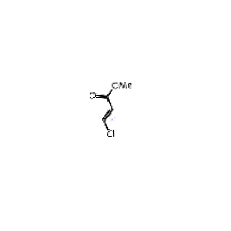 COC(=O)/C=C/Cl